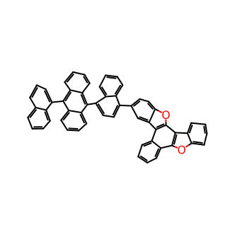 c1ccc2c(-c3c4ccccc4c(-c4ccc(-c5ccc6oc7c(c6c5)c5ccccc5c5oc6ccccc6c57)c5ccccc45)c4ccccc34)cccc2c1